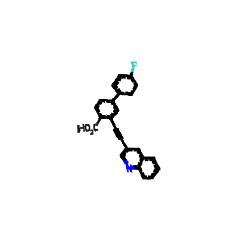 O=C(O)c1ccc(-c2ccc(F)cc2)cc1C#Cc1cnc2ccccc2c1